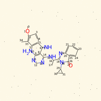 COc1ccc(C(=N)c2c(N)ncnc2NC(C)c2nc3ccccc3c(=O)n2C2CC2)cc1C